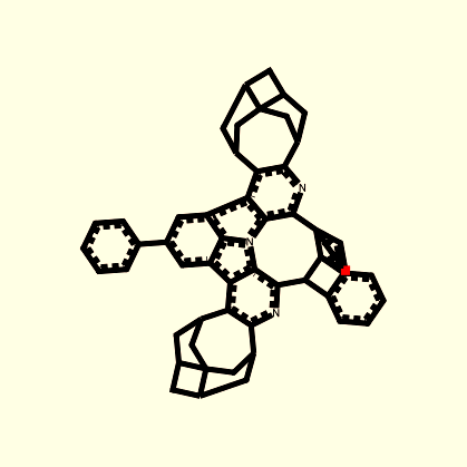 C1=CC2=CC3(C=C1)c1nc4c(c5c6cc(-c7ccccc7)cc7c8c9c(nc(c8n(c15)c76)C1c5ccccc5C213)C1CC2CC3CC9CC23C1)C1CC2CC3CC4CC32C1